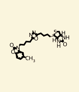 Cc1ccc2oc(=O)n(CCCCc3nnc(CCCC[C@@H]4SC[C@@H]5NC(=O)N[C@@H]54)o3)c2c1